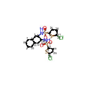 O=S(=O)(Nc1cc2ccccc2cc1NS(=O)(=O)c1ccc(Cl)s1)c1ccc(Cl)s1